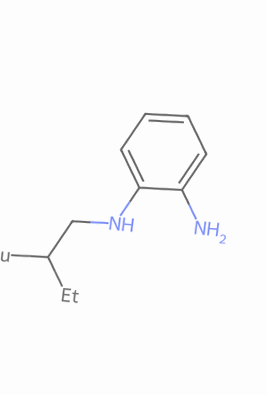 CCCCC(CC)CNc1ccccc1N